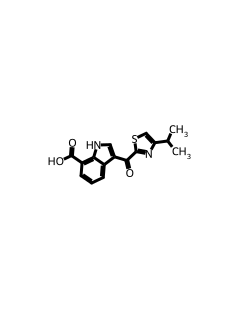 CC(C)c1csc(C(=O)c2c[nH]c3c(C(=O)O)cccc23)n1